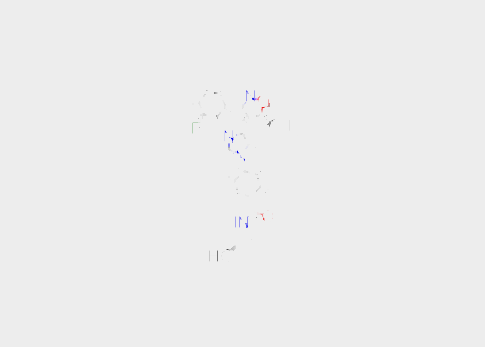 C#CCNC(=O)c1ccc(-n2cnc(-c3c(-c4cccc(F)c4)noc3C)c2)cc1